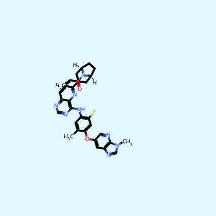 C=CC(=O)N1[C@@H]2CC[C@H]1CC(c1ccc3ncnc(Nc4cc(C)c(Oc5cnc6c(c5)ncn6C)cc4F)c3n1)C2